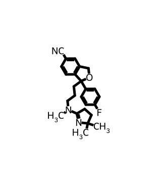 CN(CCCC1(c2ccc(F)cc2)OCc2cc(C#N)ccc21)C1=NC(C)(C)CC1